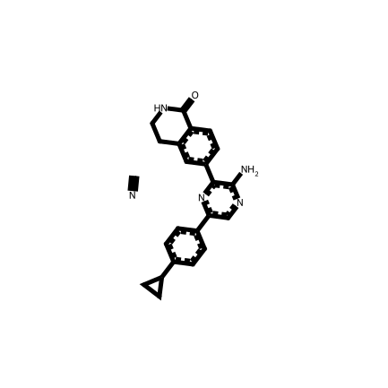 C#N.Nc1ncc(-c2ccc(C3CC3)cc2)nc1-c1ccc2c(c1)CCNC2=O